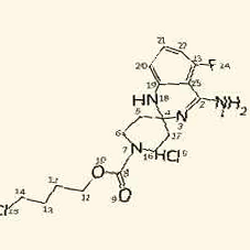 Cl.NC1=NC2(CCN(C(=O)OCCCCCl)CC2)Nc2cccc(F)c21